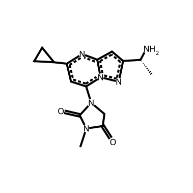 C[C@@H](N)c1cc2nc(C3CC3)cc(N3CC(=O)N(C)C3=O)n2n1